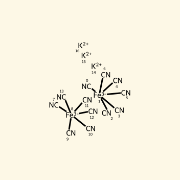 N#[C][Fe-3]([C]#N)([C]#N)([C]#N)([C]#N)[C]#N.N#[C][Fe-3]([C]#N)([C]#N)([C]#N)([C]#N)[C]#N.[K+2].[K+2].[K+2]